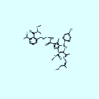 CCC/C(C)=N\N=C(/C)C(CC(=O)OC)/N=C(/c1ccc(Cl)cc1)c1c(C)sc(C(=O)NCCCc2cccc(C(C)=O)c2C(=O)C(C)CC)c1C